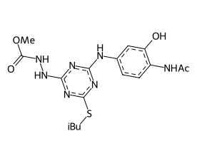 CCC(C)Sc1nc(NNC(=O)OC)nc(Nc2ccc(NC(C)=O)c(O)c2)n1